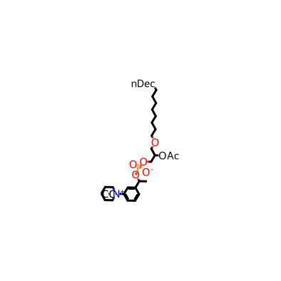 CCCCCCCCCCCCCCCCCCOCC(COP(=O)([O-])OC(C)c1cccc([N+]23CCC(CC2)CC3)c1)OC(C)=O